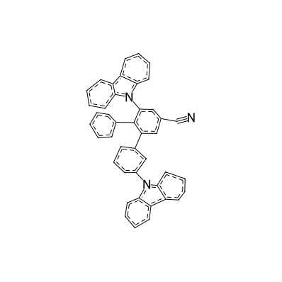 N#Cc1cc(-c2cccc(-n3c4ccccc4c4ccccc43)c2)c(-c2ccccc2)c(-n2c3ccccc3c3ccccc32)c1